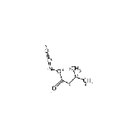 CC(C)CC(=O)ON=C=O